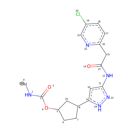 CC(C)(C)NC(=O)OC1CCC(c2cc(NC(=O)Cc3ccc(Cl)cn3)n[nH]2)C1